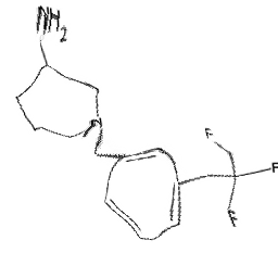 NC1CCN(c2cccc(C(F)(F)F)c2)C1